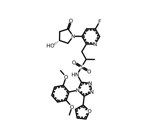 COc1cccc(OC)c1-n1c(NS(=O)(=O)C(C)Cc2ncc(F)cc2N2C[C@H](O)CC2=O)nnc1-c1ccco1